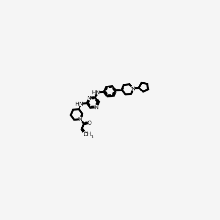 C=CC(=O)N1CCC[C@@H](Nc2cncc(Nc3ccc(C4CCN(C5CCCC5)CC4)cc3)n2)C1